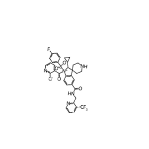 O=C(NCc1ncccc1C(F)(F)F)c1ccc2c(c1)C1(CCNCC1)C(C1CC1)[N+]2(C(=O)c1cccnc1Cl)S(=O)(=O)c1ccc(F)cc1